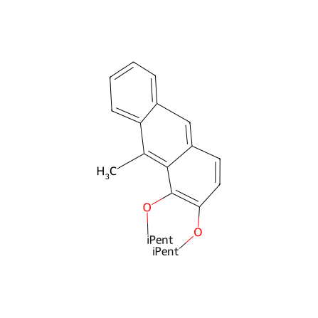 CCCC(C)Oc1ccc2cc3ccccc3c(C)c2c1OC(C)CCC